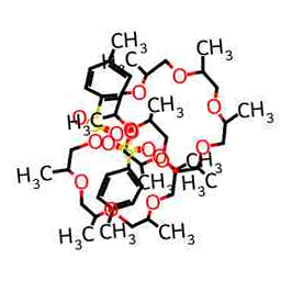 Cc1ccc(S(=O)(=O)OCC(C)OCC(C)OCC(C)OCC(C)OCC(C)OCC(C)OCC(C)OCC(C)OCC(C)OCC(C)OCC(C)OS(=O)(=O)c2ccc(C)cc2)cc1